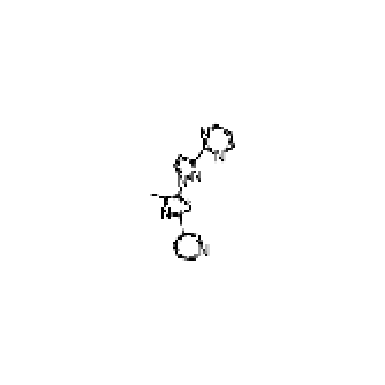 Cc1nc(-c2cccnc2)sc1-n1ccc(-c2ncccn2)n1